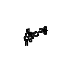 CS(=O)(=O)N1CCC(c2ccc(Nc3nc(Cl)cc4cc[nH]c(=O)c34)cc2)C1